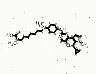 CN(CCCCCCCN(C)C1CCC(Nc2ncc(Cl)c(-c3cnn(C)c3CC3CC3)n2)CC1)C(=O)O